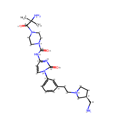 CC(C)(N)C(=O)N1CCN(C(=O)Nc2ccn(-c3cccc(CCN4CC[C@@H](CN)C4)c3)c(=O)n2)CC1